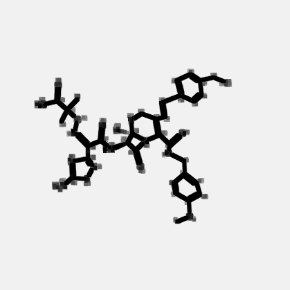 COc1ccc(COC(=O)C2=C(/C=C/c3ccc(CCl)cc3)CS[C@@H]3[C@H](NC(=O)/C(=N\OC(C)(C)C(=O)O)c4nsc(N)n4)C(=O)N23)cc1